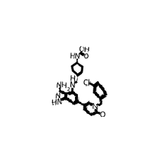 Nc1n[nH]c2cc(-c3ccc(=O)n(Cc4cccc(Cl)c4)c3)cc(NC[C@H]3CC[C@H](NC(=O)O)CC3)c12